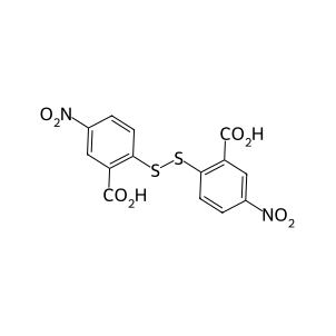 O=C(O)c1cc([N+](=O)[O-])ccc1SSc1ccc([N+](=O)[O-])cc1C(=O)O